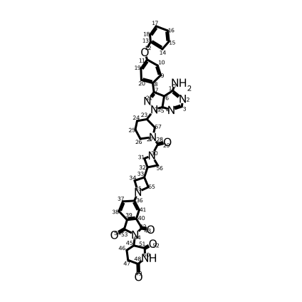 NC1=NC=NC2C1C(c1ccc(Oc3ccccc3)cc1)=NN2C1CCCN(C(=O)N2CC(C3CN(c4ccc5c(c4)C(=O)N(C4CCC(=O)NC4=O)C5=O)C3)C2)C1